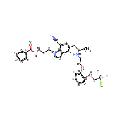 C[C@H](Cc1cc(C#N)c2c(ccn2CCCOC(=O)c2ccccc2)c1)NCCOc1ccccc1OCC(F)(F)F